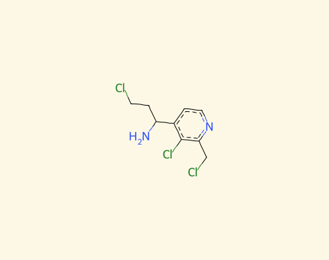 NC(CCCl)c1ccnc(CCl)c1Cl